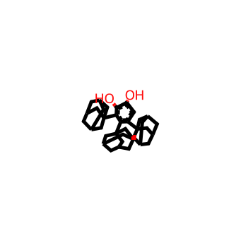 Oc1cc(C23CC4CC(CC(C4)C2)C3)c(C23CC4CC(CC(C4)C2)C3)c(C23CC4CC(CC(C4)C2)C3)c1O